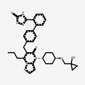 CCCc1c(Cc2ccc(-c3ccccc3-c3noc(=O)[nH]3)cc2)c(=O)n([C@H]2CC[C@H](OCC3(O)CC3)CC2)c2ccnn12